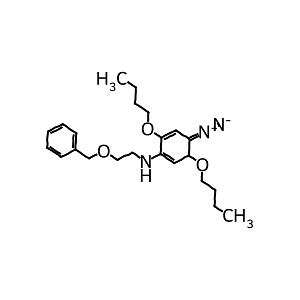 CCCCOC1=CC(=[N+]=[N-])C(OCCCC)C=C1NCCOCc1ccccc1